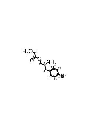 CCC(=O)OC[C@H](N)Cc1ccc(Br)cc1